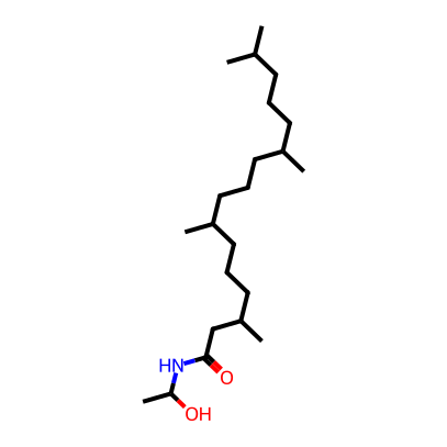 CC(C)CCCC(C)CCCC(C)CCCC(C)CC(=O)NC(C)O